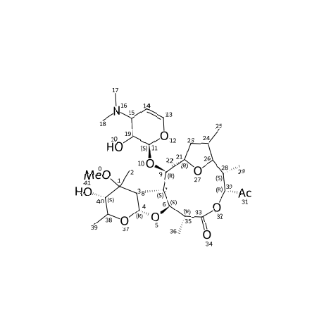 COC1(C)C[C@H](O[C@H]2[C@H](C)[C@@H](O[C@@H]3OC=CC(N(C)C)C3O)[C@@]3(C)CC(C)C(O3)[C@H](C)[C@H](C(C)=O)OC(=O)[C@@H]2C)OC(C)[C@@H]1O